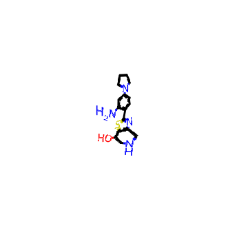 Nc1cc(N2CCCC2)ccc1-c1nc2c(s1)C(O)CNC2